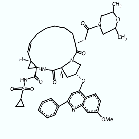 COc1ccc2c(O[C@@H]3C[C@H]4C(=O)N[C@]5(C(=O)NS(=O)(=O)C6CC6)C[C@H]5C=CCCCCC[C@H](CC(=O)N5CC(C)OC(C)C5)C(=O)N4C3)cc(-c3ccccc3)nc2c1